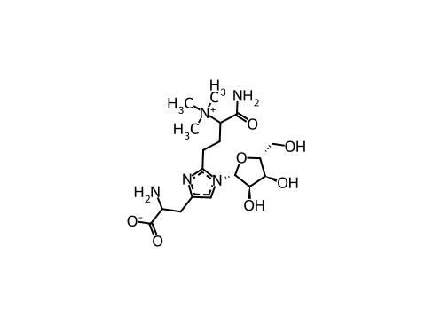 C[N+](C)(C)C(CCc1nc(CC(N)C(=O)[O-])cn1[C@@H]1O[C@H](CO)[C@@H](O)[C@H]1O)C(N)=O